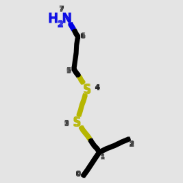 CC(C)SSCCN